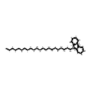 CCCCCCCCCCCCCCCCCCCCCCn1c2ccccc2c2ccccc21